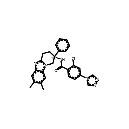 Cc1cc2nc3n(c2cc1C)C[C@@](NC(=O)c1ccc(-n2cnnc2)cc1Cl)(c1ccccc1)CC3